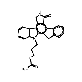 CC(=O)OCCCN1c2c3c(c4c(c2C2C=CC=CC21)CNC4=O)-c1ccccc1C3